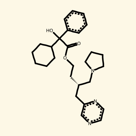 O=C(OCC[C@@H](Cc1cnccn1)CN1CCCC1)C(O)(c1ccccc1)C1CCCCC1